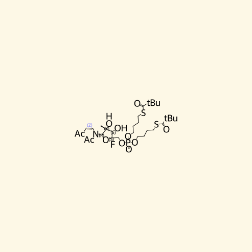 CC(=O)/C=C\N(C(C)=O)[C@@H]1O[C@](F)(COP(=O)(OCCCCSC(=O)C(C)(C)C)OCCCCSC(=O)C(C)(C)C)[C@@H](O)[C@@]1(C)O